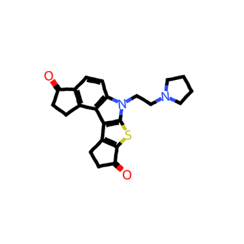 O=C1CCc2c1ccc1c2c2c3c(sc2n1CCN1CCCC1)C(=O)CC3